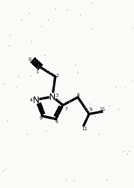 C#CCn1n[c]cc1CC(C)C